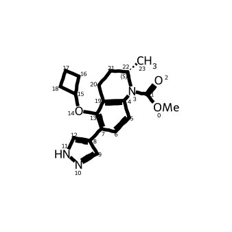 COC(=O)N1c2ccc(-c3cn[nH]c3)c(OC3CCC3)c2CC[C@@H]1C